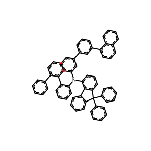 c1ccc(-c2ccccc2-c2ccccc2N(c2cccc(-c3cccc(-c4cccc5ccccc45)c3)c2)c2cccc3c2-c2ccccc2C3(c2ccccc2)c2ccccc2)cc1